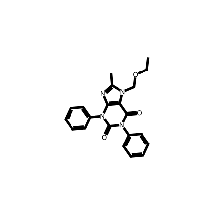 CCOCn1c(C)nc2c1c(=O)n(-c1ccccc1)c(=O)n2-c1ccccc1